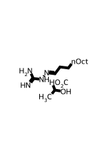 CC(O)C(=O)O.CCCCCCCCCCC=NNC(=N)N